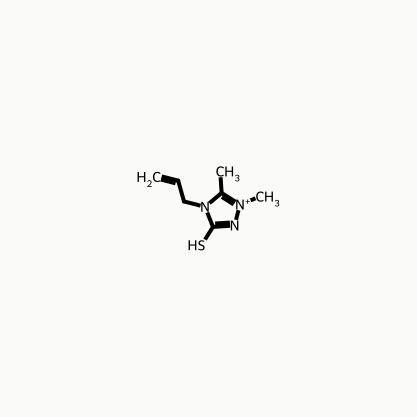 C=CCn1c(S)n[n+](C)c1C